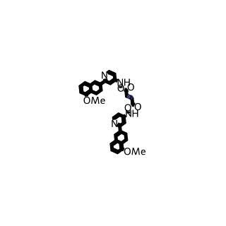 COc1cccc2c1CCC(c1cc(NOC(=O)/C=C/C(=O)ONc3ccnc(C4=Cc5cccc(OC)c5CC4)c3)ccn1)=C2